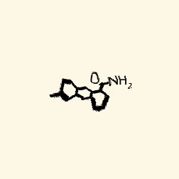 Cc1ccc2cc3c(C(N)=O)cccc3cc2c1